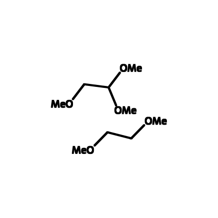 COCC(OC)OC.COCCOC